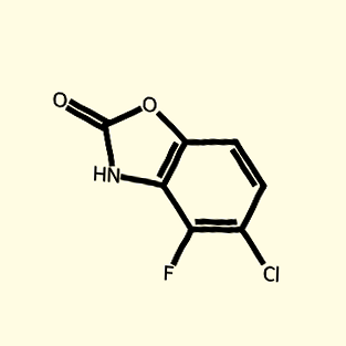 O=c1[nH]c2c(F)c(Cl)ccc2o1